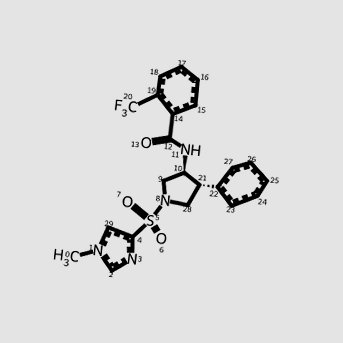 Cn1cnc(S(=O)(=O)N2C[C@@H](NC(=O)c3ccccc3C(F)(F)F)[C@H](c3ccccc3)C2)c1